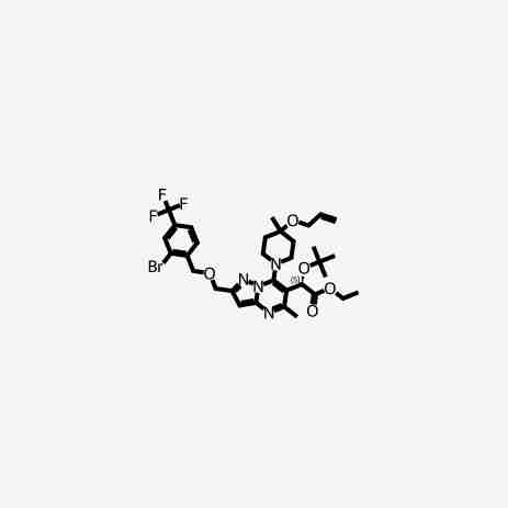 C=CCOC1(C)CCN(c2c([C@H](OC(C)(C)C)C(=O)OCC)c(C)nc3cc(COCc4ccc(C(F)(F)F)cc4Br)nn23)CC1